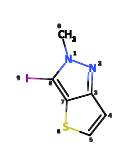 Cn1nc2ccsc2c1I